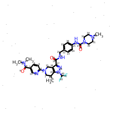 C[C@H]1CN(c2ccc(C(=O)N(C)C)cn2)Cc2c(C(=O)NCc3ccc(NC(=O)N4CCN(C)CC4)cc3)nn(C(F)F)c21